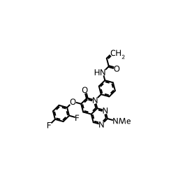 C=CC(=O)Nc1cccc(-n2c(=O)c(Oc3ccc(F)cc3F)cc3cnc(NC)nc32)c1